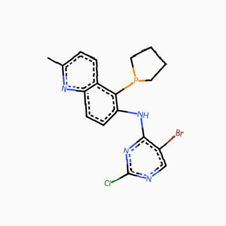 Cc1ccc2c(P3CCCC3)c(Nc3nc(Cl)ncc3Br)ccc2n1